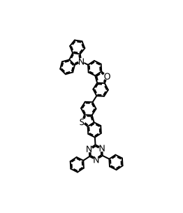 c1ccc(-c2nc(-c3ccccc3)nc(-c3ccc4c(c3)sc3ccc(-c5ccc6oc7ccc(-n8c9ccccc9c9ccccc98)cc7c6c5)cc34)n2)cc1